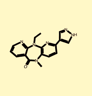 CCN1c2ncccc2C(=O)N(C)c2ccc(-c3cn[nH]c3)nc21